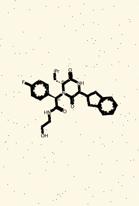 CC(C)C[C@@H]1C(=O)NC(C2Cc3ccccc3C2)C(=O)N1[C@@H](C(=O)NCCO)c1ccc(F)cc1